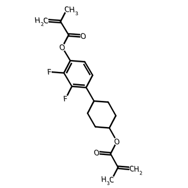 C=C(C)C(=O)Oc1ccc(C2CCC(OC(=O)C(=C)C)CC2)c(F)c1F